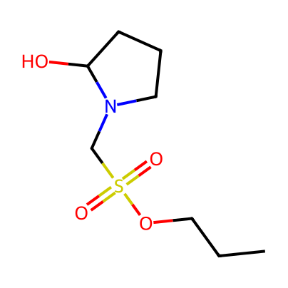 CCCOS(=O)(=O)CN1CCCC1O